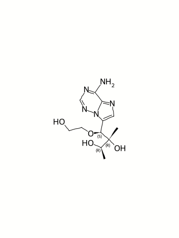 C[C@@H](O)[C@@](C)(O)[C@@H](OCCO)c1cnc2c(N)ncnn12